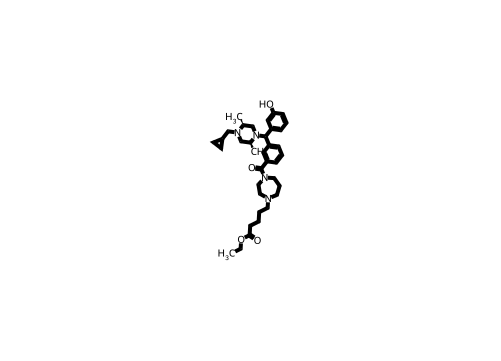 CCOC(=O)CCCCN1CCCN(C(=O)c2cccc(C(c3cccc(O)c3)N3C[C@@H](C)N(CC4CC4)C[C@@H]3C)c2)CC1